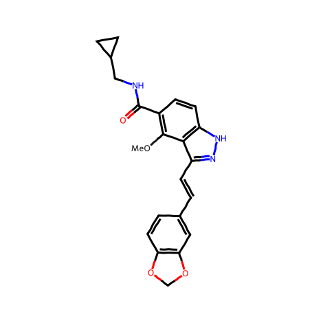 COc1c(C(=O)NCC2CC2)ccc2[nH]nc(/C=C/c3ccc4c(c3)OCO4)c12